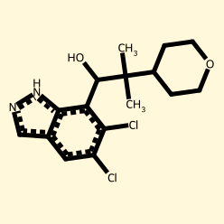 CC(C)(C1CCOCC1)C(O)c1c(Cl)c(Cl)cc2cn[nH]c12